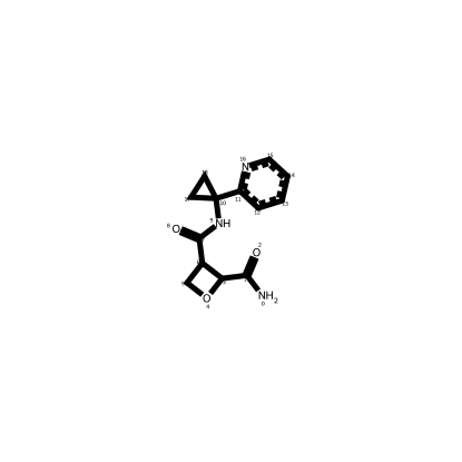 NC(=O)C1OC[C]1C(=O)NC1(c2ccccn2)CC1